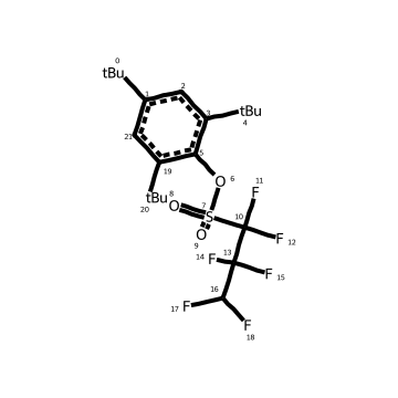 CC(C)(C)c1cc(C(C)(C)C)c(OS(=O)(=O)C(F)(F)C(F)(F)C(F)F)c(C(C)(C)C)c1